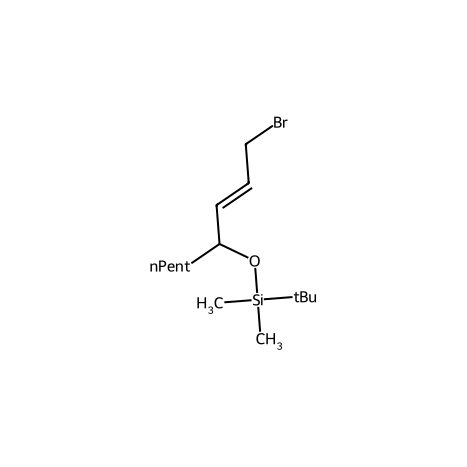 CCCCCC(/C=C/CBr)O[Si](C)(C)C(C)(C)C